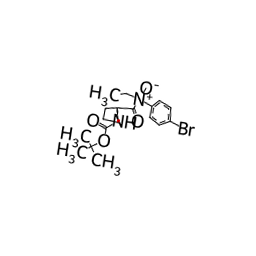 CC[N+]([O-])(C(=O)C1(NC(=O)OC(C)(C)C)CCC1)c1ccc(Br)cc1